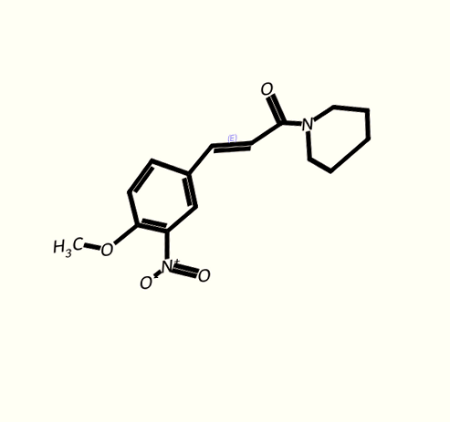 COc1ccc(/C=C/C(=O)N2CCCCC2)cc1[N+](=O)[O-]